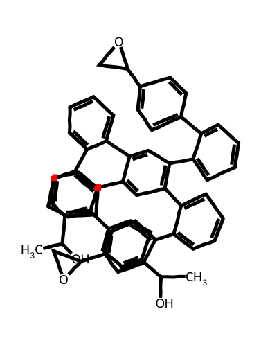 CC(O)c1ccc(-c2ccccc2-c2cc(-c3ccccc3-c3ccc(C4CO4)cc3)c(-c3ccccc3-c3ccc(C4CO4)cc3)cc2-c2ccccc2-c2ccc(C(C)O)cc2)cc1